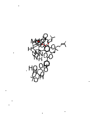 COC(=O)/C(C)=C\CC12OC(C)(C)[C@H]3C[C@H](C1=O)C1C4=C(Nc5ncn1n5)c1c(OC(=O)c5ccc(O[C@@H]6O[C@@H]7COC(C)(C)O[C@H]7[C@H](O)[C@H]6O)cc5)c5c(c(CC=C(C)C)c1OC432)OC(C)(CCC=C(C)C)C=C5